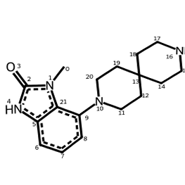 Cn1c(=O)[nH]c2cccc(N3CCC4(CCNCC4)CC3)c21